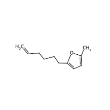 C=CCCCCc1ccc(C)o1